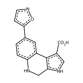 O=C(O)c1c[nH]c2c1-c1cc(-c3ccno3)ccc1NC2